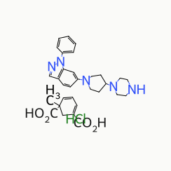 CC1(C(=O)O)C=CC=C(C(=O)O)C1.Cl.c1ccc(-n2ncc3ccc(N4CCC(N5CCNCC5)CC4)cc32)cc1